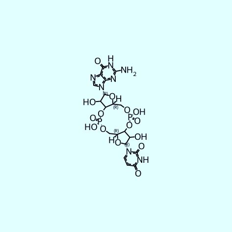 Nc1nc2c(ncn2[C@@H]2O[C@@H]3COP(=O)(O)OC4C(O)[C@H](n5ccc(=O)[nH]c5=O)O[C@@H]4COP(=O)(O)OC3C2O)c(=O)[nH]1